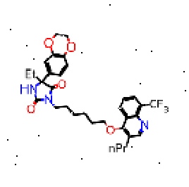 CCCc1cnc2c(C(F)(F)F)cccc2c1OCCCCCCN1C(=O)NC(CC)(c2ccc3c(c2)OCCO3)C1=O